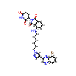 O=C1CCC(N2C(=O)c3cccc(NCCCCCCn4cc(-c5cnc6cccc(Br)c6n5)cn4)c3C2=O)C(=O)N1